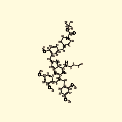 CCCCNc1nc(N(Cc2ccc(OC)cc2OC)Cc2ccc(OC)cc2OC)nc2cn(Cc3cc(CN4CCN(C(=O)OC(C)(C)C)CC4)ccc3OC)nc12